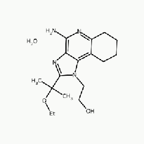 CCOC(C)(C)c1nc2c(N)nc3c(c2n1CCO)CCCC3.O